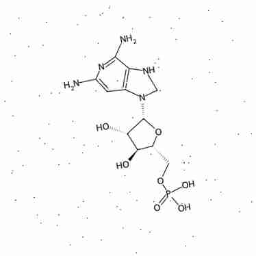 Nc1cc2c(c(N)n1)NCN2[C@@H]1O[C@H](COP(=O)(O)O)[C@@H](O)[C@@H]1O